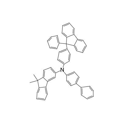 CC1(C)c2ccccc2-c2cc(N(c3ccc(-c4ccccc4)cc3)c3ccc(C4(c5ccccc5)c5ccccc5-c5ccccc54)cc3)ccc21